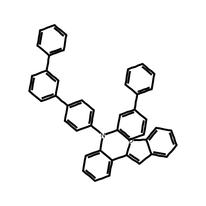 c1ccc(-c2cccc(-c3ccc(N(c4cccc(-c5ccccc5)c4)c4ccccc4-c4cc5ccccc5o4)cc3)c2)cc1